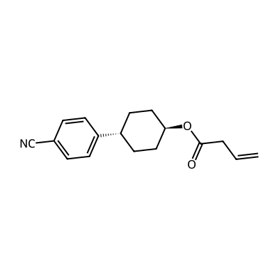 C=CCC(=O)O[C@H]1CC[C@H](c2ccc(C#N)cc2)CC1